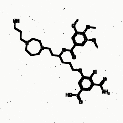 COc1cc(C(=O)OC(CCCOc2cc(C(=O)O)cc(C(N)=O)c2Cl)CCN2CCCN(CCCO)CC2)cc(OC)c1OC